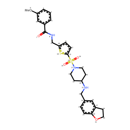 COc1cccc(C(=O)NCc2ccc(S(=O)(=O)N3CCC(NCc4ccc5c(c4)CCO5)CC3)s2)c1